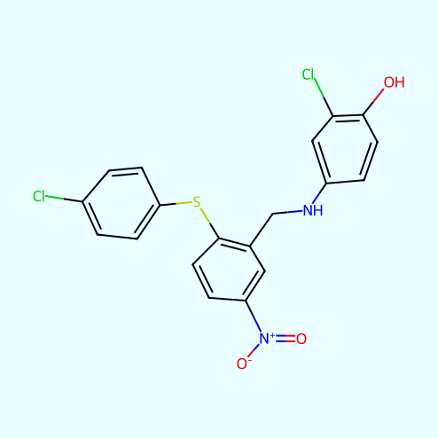 O=[N+]([O-])c1ccc(Sc2ccc(Cl)cc2)c(CNc2ccc(O)c(Cl)c2)c1